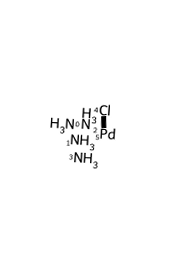 N.N.N.N.[Cl][Pd]